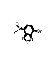 O=[N+]([O-])c1ccc(Br)c2nsnc12